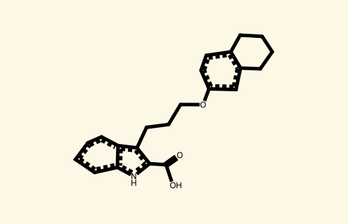 O=C(O)c1[nH]c2ccccc2c1CCCOc1ccc2c(c1)CCCC2